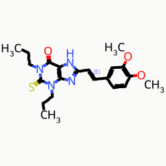 CCCn1c(=O)c2[nH]c(/C=C/c3ccc(OC)c(OC)c3)nc2n(CCC)c1=S